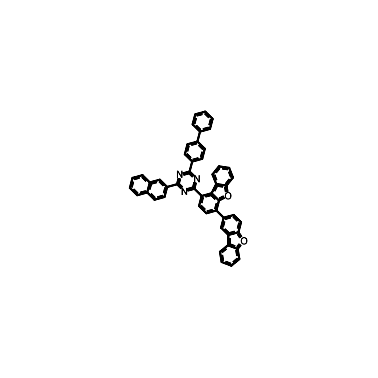 c1ccc(-c2ccc(-c3nc(-c4ccc5ccccc5c4)nc(-c4ccc(-c5ccc6oc7ccccc7c6c5)c5oc6ccccc6c45)n3)cc2)cc1